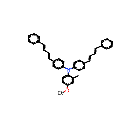 CCOc1ccc(N(c2ccc(/C=C/C=C/c3ccccc3)cc2)c2ccc(/C=C/C=C/c3ccccc3)cc2)c(C)c1